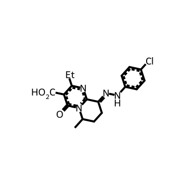 CCc1nc2n(c(=O)c1C(=O)O)C(C)CCC2=NNc1ccc(Cl)cc1